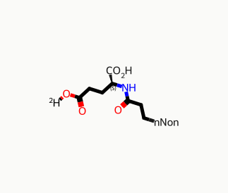 [2H]OC(=O)CC[C@H](NC(=O)CCCCCCCCCCC)C(=O)O